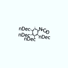 CCCCCCCCCCc1[c]c(N=C=O)c(CCCCCCCCCC)c(CCCCCCCCCC)c1CCCCCCCCCC